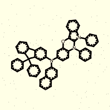 c1ccc(N2c3ccc(N(c4ccc5c(c4)C(c4ccccc4)(c4ccccc4)c4ccccc4-5)c4ccc5ccccc5c4)cc3Oc3c2n(-c2ccccc2)c2ccccc32)cc1